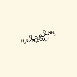 CC(=O)O.NCC(=O)COOOCC(=O)CN